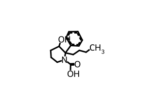 CCCCC1(c2ccccc2)C(O)CCCN1C(=O)O